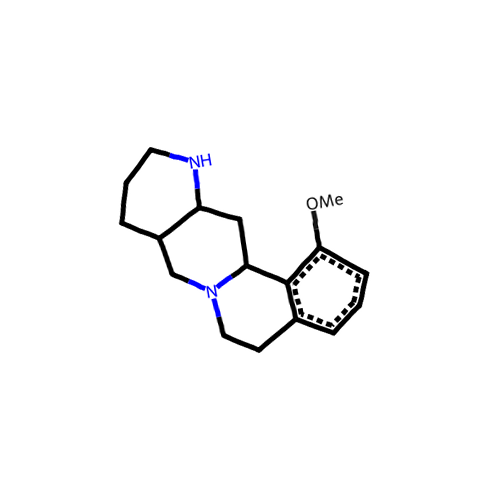 COc1cccc2c1C1CC3NCCCC3CN1CC2